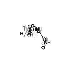 CC(C)(C)OC(=O)NC(C)(C)c1cccc(CC(=O)Nc2cc3c(CCCCc4nnc(NC(=O)Cc5ccccc5)s4)n2-3)c1